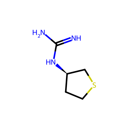 N=C(N)N[C@@H]1CCSC1